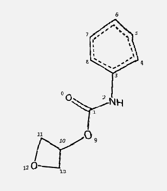 O=C(Nc1ccccc1)OC1COC1